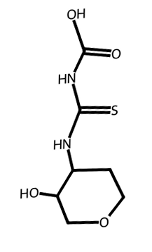 O=C(O)NC(=S)NC1CCOCC1O